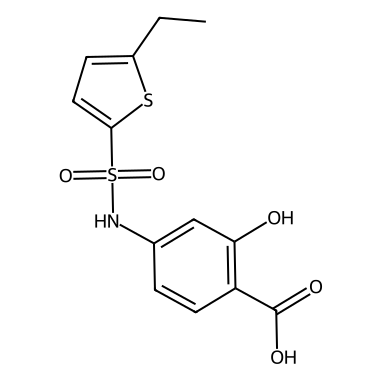 CCc1ccc(S(=O)(=O)Nc2ccc(C(=O)O)c(O)c2)s1